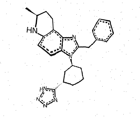 C[C@H]1CCc2c(ccc3c2nc(Cc2ccccc2)n3[C@H]2CCC[C@H](c3nnn[nH]3)C2)N1